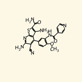 COc1ccc(-c2c(C#N)c(N)nc3sc(C(N)=O)c(N)c23)cc1NC(=O)c1ccncc1